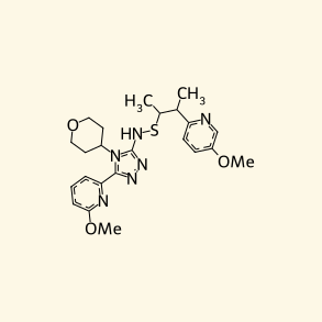 COc1ccc(C(C)C(C)SNc2nnc(-c3cccc(OC)n3)n2C2CCOCC2)nc1